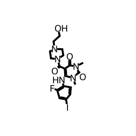 Cn1c(Nc2ccc(I)cc2F)c(C(=O)N2CCN(CCO)CC2)c(=O)n(C)c1=O